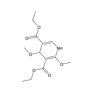 CCOC(=O)C1=CNC(OC)=C(C(=O)OCC)C1OC